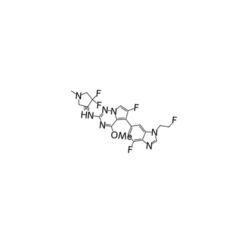 COc1nc(N[C@@H]2CN(C)CC2(F)F)nn2cc(F)c(-c3cc(F)c4ncn(CCF)c4c3)c12